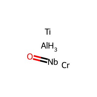 [AlH3].[Cr].[O]=[Nb].[Ti]